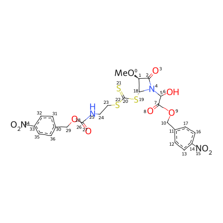 CO[C@H]1C(=O)N(C(O)C(=O)OCc2ccc([N+](=O)[O-])cc2)[C@@H]1SC(=S)SCCNC(=O)OCc1ccc([N+](=O)[O-])cc1